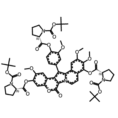 COc1cc(-c2c3c4cc(OC)c(OC(=O)[C@@H]5CCCN5C(=O)OC(C)(C)C)cc4oc(=O)c3n3ccc4c(OC(=O)[C@@H]5CCCN5C(=O)OC(C)(C)C)c(OC)c(OC)cc4c23)ccc1OC(=O)[C@@H]1CCCN1C(=O)OC(C)(C)C